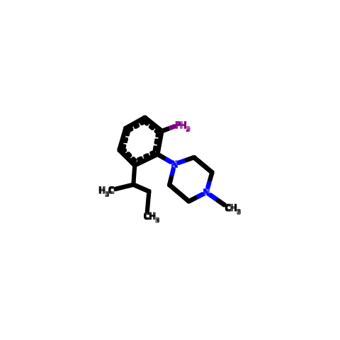 CCC(C)c1cccc(P)c1N1CCN(C)CC1